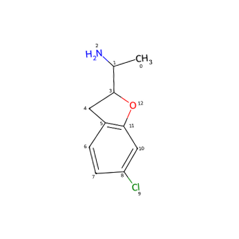 CC(N)C1Cc2ccc(Cl)cc2O1